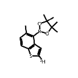 [2H]c1cc2c(B3OC(C)(C)C(C)(C)O3)c(C)ccc2s1